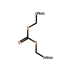 CCCCCCCCCCSC(=S)SCCCCCCCCCC